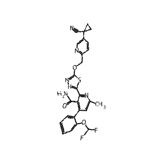 Cc1cc(-c2ccccc2OC(F)F)c(C(N)=O)c(-c2nnc(OCc3ccc(C4(C#N)CC4)cn3)s2)n1